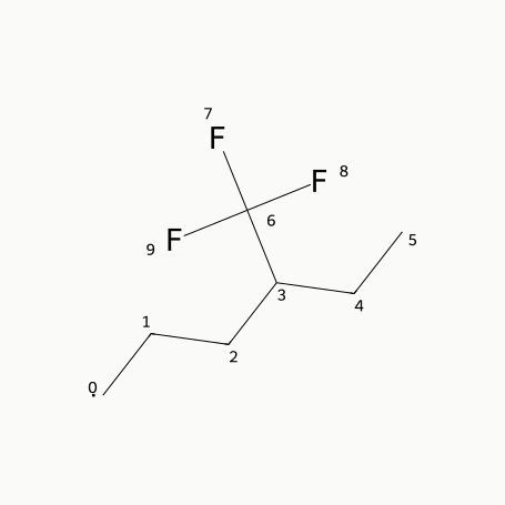 [CH2]CCC(CC)C(F)(F)F